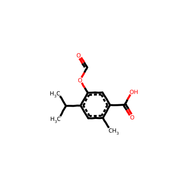 Cc1cc(C(C)C)c(OC=O)cc1C(=O)O